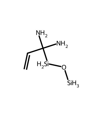 C=CC(N)(N)[SiH2]O[SiH3]